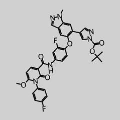 COc1ccc(C(=O)Nc2ccc(Oc3cc4cnn(C)c4cc3-c3cnn(C(=O)OC(C)(C)C)c3)c(F)c2)c(=O)n1-c1ccc(F)cc1